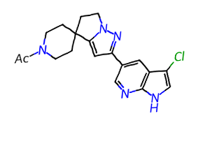 CC(=O)N1CCC2(CC1)CCn1nc(-c3cnc4[nH]cc(Cl)c4c3)cc12